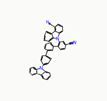 N#Cc1ccc(-c2cccc(-c3ccc(-n4c5ccccc5c5ccccc54)cc3)c2)c(-n2c3ccccc3c3c(C#N)cccc32)c1